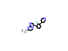 Fc1c(-c2ccncc2)cccc1-c1cnc2nc(C(F)(F)F)ccn12